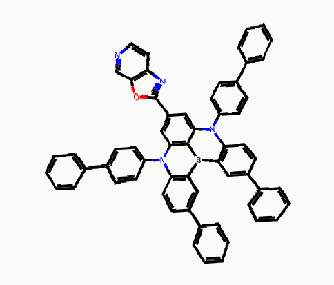 c1ccc(-c2ccc(N3c4ccc(-c5ccccc5)cc4B4c5cc(-c6ccccc6)ccc5N(c5ccc(-c6ccccc6)cc5)c5cc(-c6nc7ccncc7o6)cc3c54)cc2)cc1